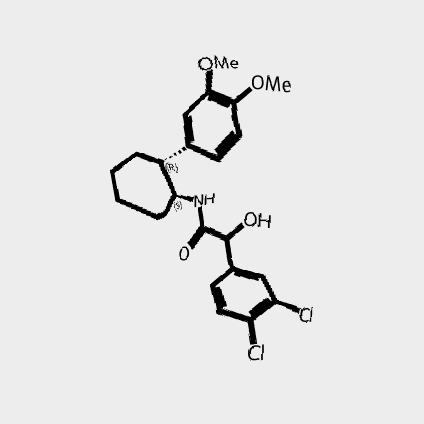 COc1ccc([C@H]2CCCC[C@@H]2NC(=O)C(O)c2ccc(Cl)c(Cl)c2)cc1OC